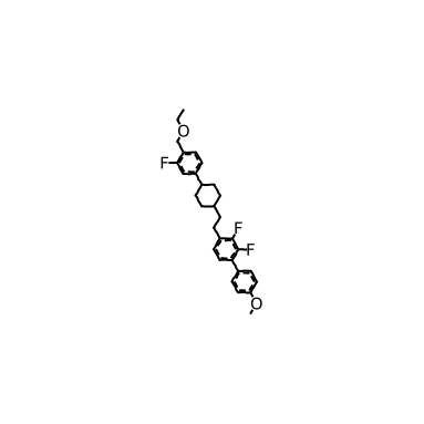 CCOCc1ccc(C2CCC(CCc3ccc(-c4ccc(OC)cc4)c(F)c3F)CC2)cc1F